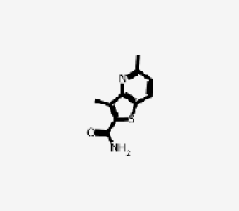 Cc1ccc2sc(C(N)=O)c(C)c2n1